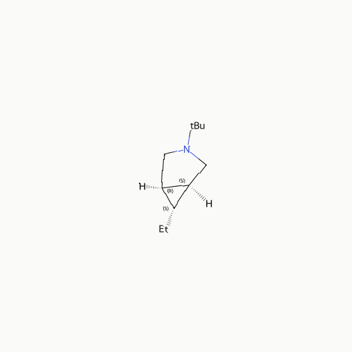 CC[C@@H]1[C@H]2CN(C(C)(C)C)C[C@@H]12